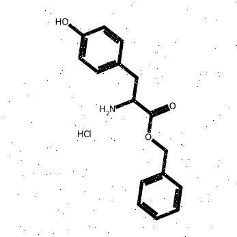 Cl.NC(Cc1ccc(O)cc1)C(=O)OCc1ccccc1